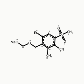 CCc1nc(S(C)(=O)=O)c(C#N)c(C)c1COCOC